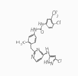 Cc1cc(NC(=O)Nc2ccc(Cl)c(C(F)(F)F)c2)ccc1Cc1nccc(Nc2cc(Cl)n[nH]2)n1